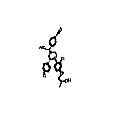 C[C@H](O)COc1ccc(N2CCN([C@@H](CO)c3ccc(C#N)cc3)C[C@H]2c2ccc(Cl)cc2)c(Cl)c1